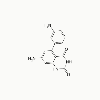 Nc1cccc(-c2cc(N)cc3[nH]c(=O)[nH]c(=O)c23)c1